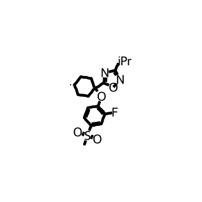 CC(C)c1noc(C2(Oc3ccc(S(C)(=O)=O)cc3F)CC[CH]CC2)n1